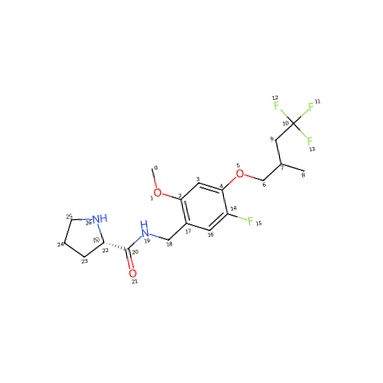 COc1cc(OCC(C)CC(F)(F)F)c(F)cc1CNC(=O)[C@@H]1CCCN1